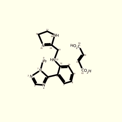 CC(C)n1ncnc1-c1ccccc1NCC1=NCCN1.O=C(O)/C=C/C(=O)O